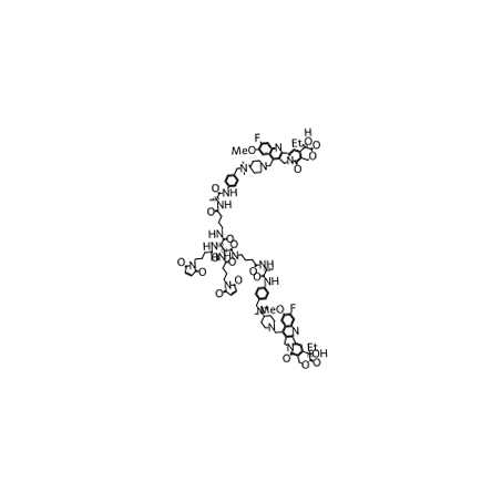 CC[C@@]1(O)C(=O)OCc2c1cc1n(c2=O)Cc2c-1nc1cc(F)c(OC)cc1c2CN1CCC([N+](C)(C)Cc2ccc(NC(=O)[C@H](C)NC(=O)CCCNC(=O)[C@@H](NC(=O)CCCN3C(=O)C=CC3=O)[C@H](NC(=O)CCCN3C(=O)C=CC3=O)C(=O)NCCCC(=O)N[C@@H](C)C(=O)Nc3ccc(C[N+](C)(C)C4CCN(Cc5c6c(nc7cc(F)c(OC)cc57)-c5cc7c(c(=O)n5C6)COC(=O)[C@]7(O)CC)CC4)cc3)cc2)CC1